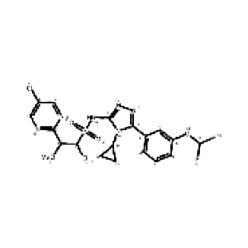 COC(c1ncc(Cl)cn1)C(C)S(=O)(=O)Nc1nnc(-c2cccc(OC(F)F)c2)n1C1CC1